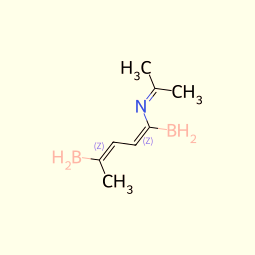 B/C(C)=C/C=C(/B)N=C(C)C